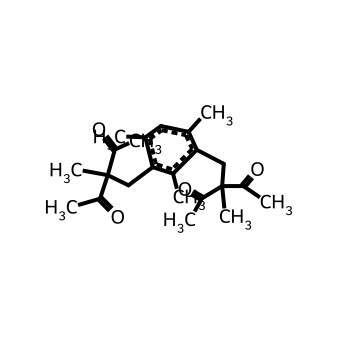 CC(=O)C(C)(Cc1c(C)cc(C)c(CC(C)(C(C)=O)C(C)=O)c1C)C(C)=O